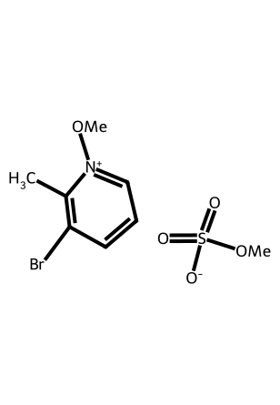 COS(=O)(=O)[O-].CO[n+]1cccc(Br)c1C